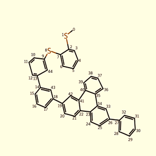 CSc1ccccc1Sc1cccc(-c2cccc(-c3ccc4c5ccc(-c6ccccc6)cc5c5ccccc5c4c3)c2)c1